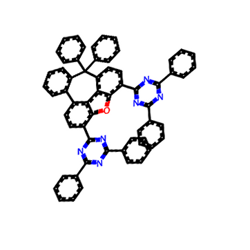 c1ccc(-c2nc(-c3ccccc3)nc(-c3ccc4c5c3oc3c(-c6nc(-c7ccccc7)nc(-c7ccccc7)n6)ccc(c35)C(c3ccccc3)(c3ccccc3)c3ccccc3-4)n2)cc1